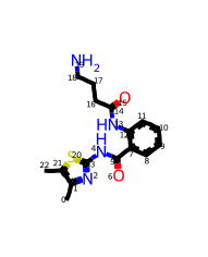 Cc1nc(NC(=O)c2ccccc2NC(=O)CCCN)sc1C